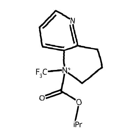 CC(C)OC(=O)[N+]1(C(F)(F)F)CCCc2ncccc21